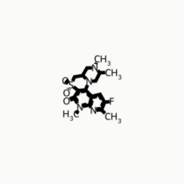 Cc1nc2c(cc1F)c1c(c(=O)n2C)S(=O)(=O)CC2CN(C)C(C)CN12